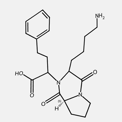 NCCCCC1C(=O)N2CCC[C@H]2C(=O)N1C(CCc1ccccc1)C(=O)O